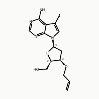 C=CCO[C@@H]1C[C@H](n2cc(I)c3c(N)ncnc32)O[C@@H]1CO